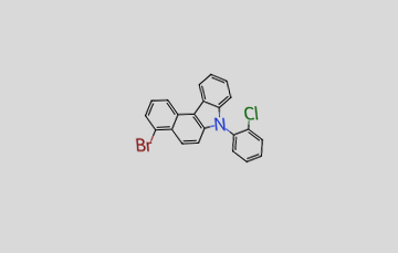 Clc1ccccc1-n1c2ccccc2c2c3cccc(Br)c3ccc21